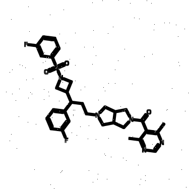 Cc1ncnc(C)c1C(=O)N1CC2CN(CCC(c3cccc(F)c3)C3CN(S(=O)(=O)c4cccc(F)c4)C3)CC2C1